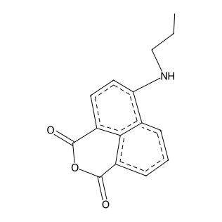 CCCNc1ccc2c3c(cccc13)C(=O)OC2=O